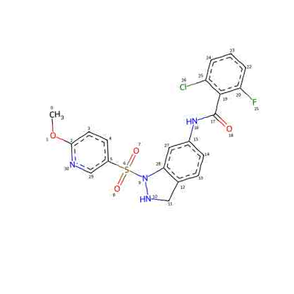 COc1ccc(S(=O)(=O)N2NCc3ccc(NC(=O)c4c(F)cccc4Cl)cc32)cn1